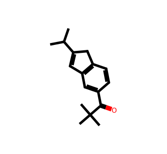 CC(C)C1=Cc2cc(C(=O)C(C)(C)C)ccc2C1